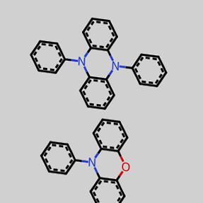 c1ccc(N2c3ccccc3N(c3ccccc3)c3ccccc32)cc1.c1ccc(N2c3ccccc3Oc3ccccc32)cc1